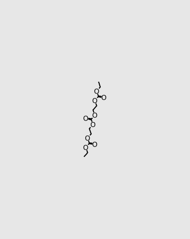 CCOC(=O)OCCOC(=O)OCCOC(=O)OCC